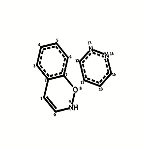 C1=Cc2ccccc2ON1.c1ccnnc1